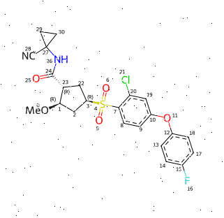 CO[C@@H]1C[C@H](S(=O)(=O)c2ccc(Oc3ccc(F)cc3)cc2Cl)C[C@H]1C(=O)NC1(C#N)CC1